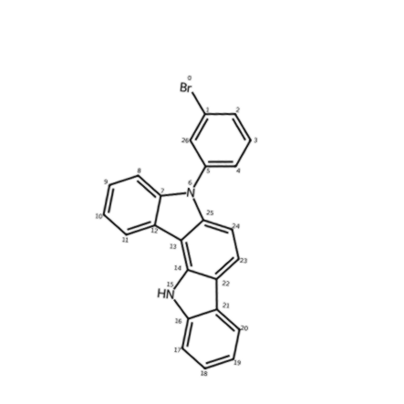 Brc1cccc(-n2c3ccccc3c3c4[nH]c5ccccc5c4ccc32)c1